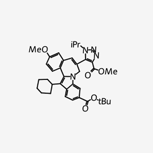 COC(=O)c1nnn(C(C)C)c1C1=Cc2cc(OC)ccc2-c2c(C3CCCCC3)c3ccc(C(=O)OC(C)(C)C)cc3n2C1